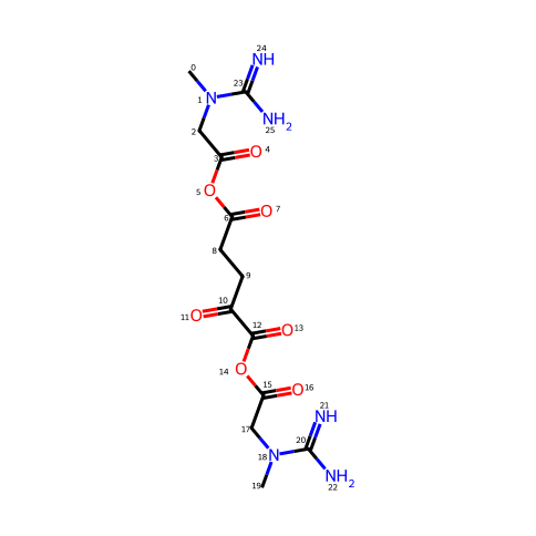 CN(CC(=O)OC(=O)CCC(=O)C(=O)OC(=O)CN(C)C(=N)N)C(=N)N